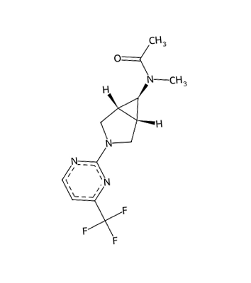 CC(=O)N(C)[C@H]1[C@@H]2CN(c3nccc(C(F)(F)F)n3)C[C@@H]21